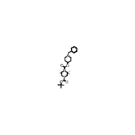 C[C@@H]1CN(C(=O)OC(C)(C)C)C[C@H](C)N1C(=O)OC1CCN(Cc2ccccc2)CC1